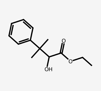 CCOC(=O)C(O)C(C)(C)c1ccccc1